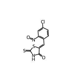 O=Nc1cc(Cl)ccc1/C=C1\SC(=S)NC1=O